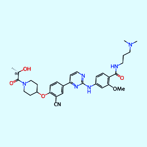 COc1cc(Nc2nccc(-c3ccc(OC4CCN(C(=O)[C@H](C)O)CC4)c(C#N)c3)n2)ccc1C(=O)NCCCN(C)C